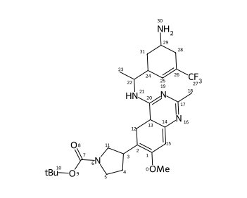 COC1=C(C2CCN(C(=O)OC(C)(C)C)C2)CC2C(=C1)N=C(C)N=C2NC(C)C1C=C(C(F)(F)F)CC(N)C1